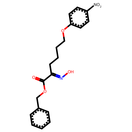 O=C(OCc1ccccc1)C(CCCCOc1ccc([N+](=O)[O-])cc1)=NO